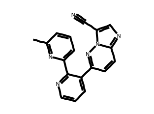 Cc1cccc(-c2ncccc2-c2ccc3ncc(C#N)n3n2)n1